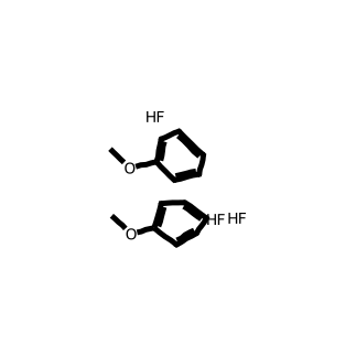 COc1ccccc1.COc1ccccc1.F.F.F